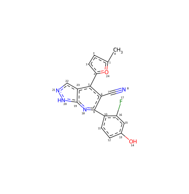 Cc1ccc(-c2c(C#N)c(-c3ccc(O)cc3F)nc3[nH]ncc23)o1